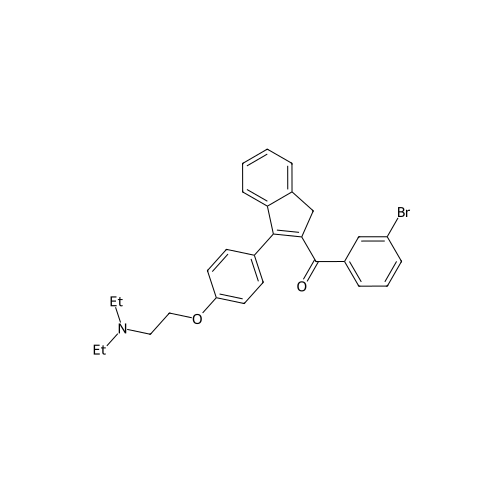 CCN(CC)CCOc1ccc(C2=C(C(=O)c3cccc(Br)c3)Cc3ccccc32)cc1